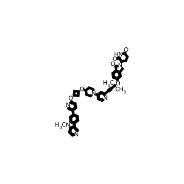 Cn1c2ccncc2c2ccc(-c3ccc(O[C@H]4C[C@H](OC5CCN(c6ccnc(C#CC(C)(C)Oc7ccc8c(c7)CN(C7CCC(=O)NC7=O)C8=O)c6)CC5)C4)nc3)cc21